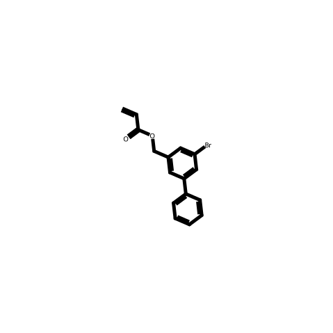 C=CC(=O)OCc1cc(Br)cc(-c2ccccc2)c1